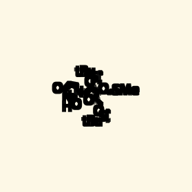 CSCO[C@H]1[C@@H](O[Si](C)(C)C(C)(C)C)[C@H](n2ccc(=O)[nH]c2=O)O[C@@H]1CO[Si](C)(C)C(C)(C)C